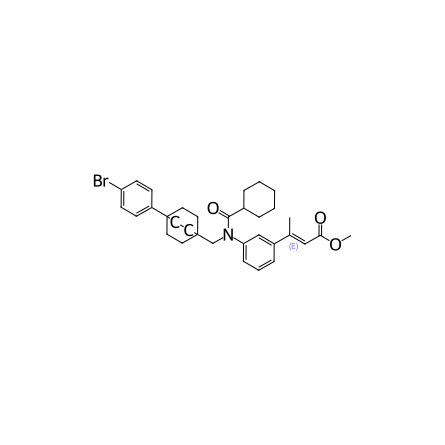 COC(=O)/C=C(\C)c1cccc(N(CC23CCC(c4ccc(Br)cc4)(CC2)CC3)C(=O)C2CCCCC2)c1